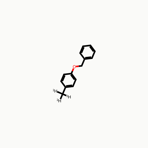 [2H]C([2H])([2H])c1ccc(OCc2ccccc2)cc1